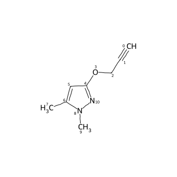 C#CCOc1cc(C)n(C)n1